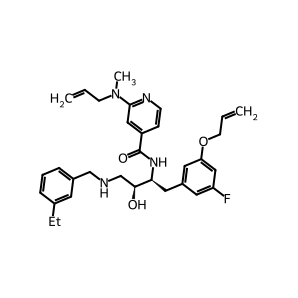 C=CCOc1cc(F)cc(C[C@H](NC(=O)c2ccnc(N(C)CC=C)c2)[C@@H](O)CNCc2cccc(CC)c2)c1